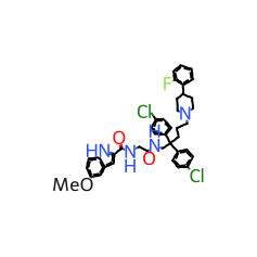 COc1ccc2[nH]c(C(=O)NCC(=O)NCC(CCCN3CCC(c4ccccc4F)CC3)(c3ccc(Cl)cc3)c3ccc(Cl)cc3)cc2c1